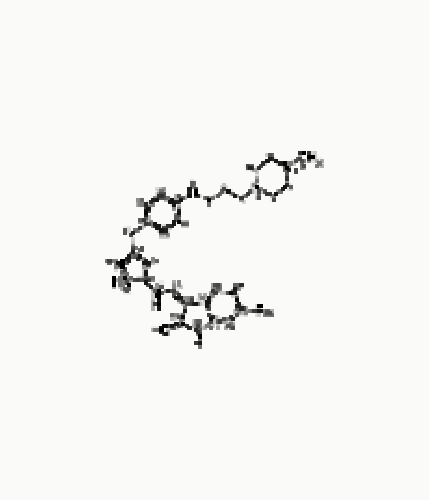 CN1CCN(CCCOc2ccc(Cc3cc(NC=C4C(=O)Nc5cc(F)ccc54)[nH]n3)cc2)CC1